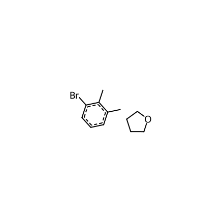 C1CCOC1.Cc1cccc(Br)c1C